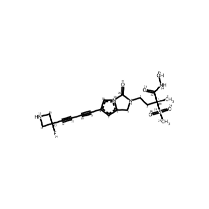 C[C@@](CCN1Cc2cc(C#CC#CC3(F)CNC3)cn2C1=O)(C(=O)NO)S(C)(=O)=O